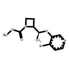 C[C@H](Oc1cnccc1Br)C1CCN1C(=O)OC(C)(C)C